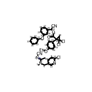 C/C(=N\C#N)N(C)Cc1ccc(Cl)nc1.CCOc1ccc(C2(C(=O)OC(C#N)c3cccc(Oc4ccccc4)c3)CC2(Cl)Cl)cc1